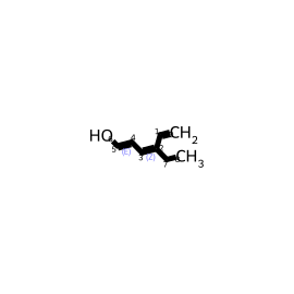 C=C/C(=C\C=C\O)CC